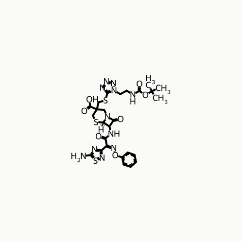 CC(C)(C)OC(=O)NCCn1nnnc1SCC1(C(=O)O)CS[C@@H]2C(NC(=O)C(=NOc3ccccc3)c3nsc(N)n3)C(=O)N2C1